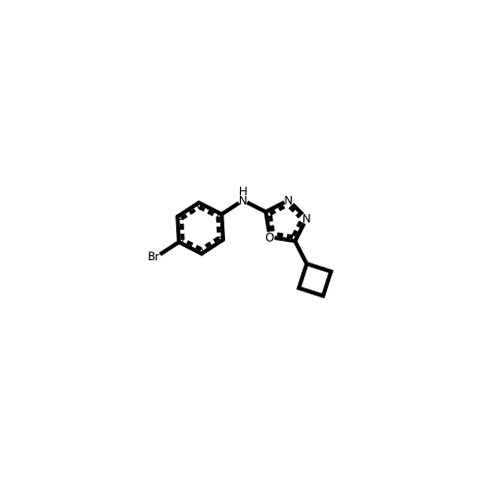 Brc1ccc(Nc2nnc(C3CCC3)o2)cc1